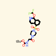 CC(C)(C)OC(=O)NCC(=O)N1CCN(S(=O)(=O)c2cccc3c(OC(F)F)nccc23)CC1